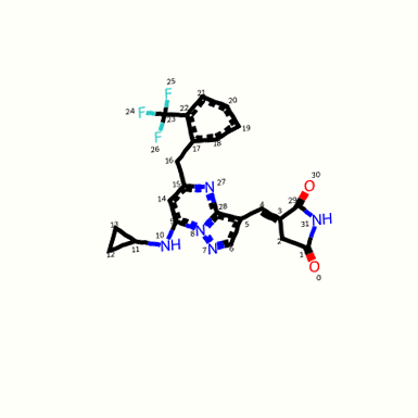 O=C1C/C(=C\c2cnn3c(NC4CC4)cc(Cc4ccccc4C(F)(F)F)nc23)C(=O)N1